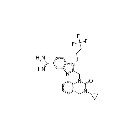 N=C(N)c1ccc2c(c1)nc(CN1C(=O)N(C3CC3)Cc3ccccc31)n2CCCC(F)(F)F